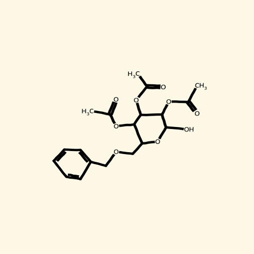 CC(=O)OC1C(O)OC(COCc2ccccc2)C(OC(C)=O)C1OC(C)=O